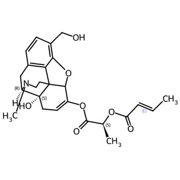 C/C=C/C(=O)O[C@@H](C)C(=O)OC1=CC[C@@]2(O)[C@H]3Cc4ccc(CO)c5c4C2(CCN3C)C1O5